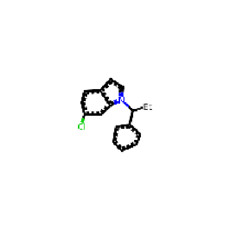 CCC(c1ccccc1)n1ccc2ccc(Cl)cc21